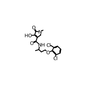 CC(CCOc1c(Cl)cccc1Cl)NC(=O)C1=C(O)C(=O)N(C)C1